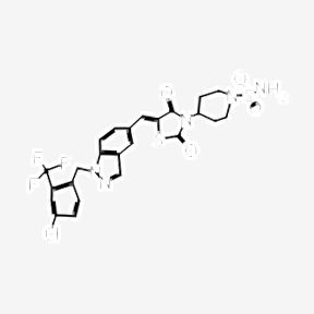 NS(=O)(=O)N1CCC(N2C(=O)SC(=Cc3ccc4c(cnn4Cc4ccc(Cl)cc4C(F)(F)F)c3)C2=O)CC1